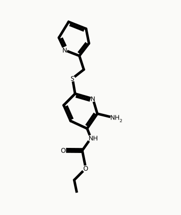 CCOC(=O)Nc1ccc(SCc2ccccn2)nc1N